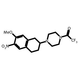 COc1cc2c(cc1[N+](=O)[O-])CCC(N1CCN(C(=O)C(F)(F)F)CC1)C2